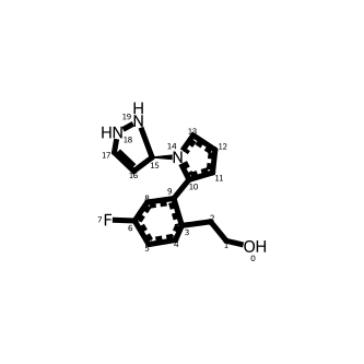 OCCc1ccc(F)cc1-c1cccn1[C@H]1C=CNN1